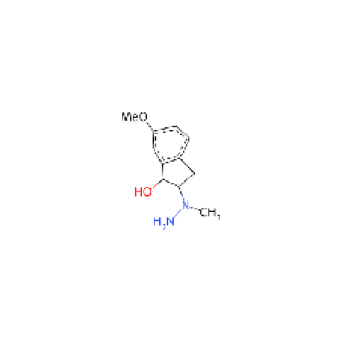 COc1ccc2c(c1)C(O)C(N(C)N)C2